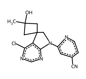 CC1(O)CC2(CN(c3cc(C#N)ccn3)c3ncnc(Cl)c32)C1